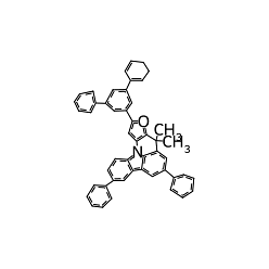 CC1(C)c2oc(-c3cc(C4=CCCC=C4)cc(-c4ccccc4)c3)cc2-n2c3ccc(-c4ccccc4)cc3c3cc(-c4ccccc4)cc1c32